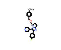 COc1ccc(COC[C@H]2CCc3nc(-c4ccc(F)cc4)c(-c4ccncc4)n32)cc1